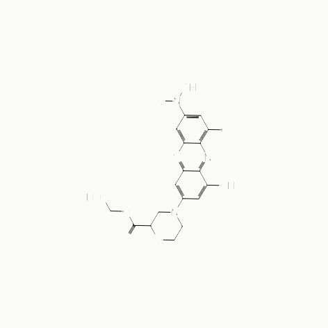 CCOC(=O)C1CN(c2cc(C)c3nc4c(C)cc(N(C)C)cc4[s+]c3c2)CCO1.[I-]